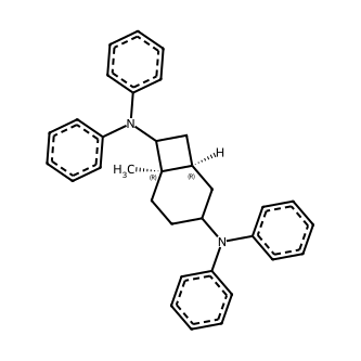 C[C@@]12CCC(N(c3ccccc3)c3ccccc3)C[C@@H]1CC2N(c1ccccc1)c1ccccc1